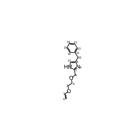 C=COCCOCc1nc(Cc2ccccc2)c[nH]1